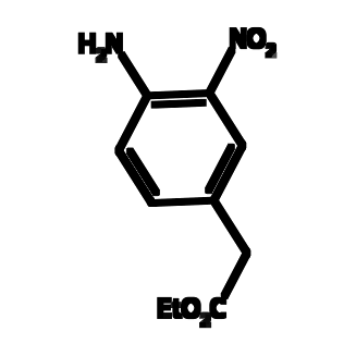 CCOC(=O)Cc1ccc(N)c([N+](=O)[O-])c1